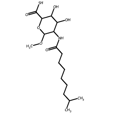 COC1OC(C(=O)S)C(O)C(O)C1NC(=O)CCCCCCC(C)C